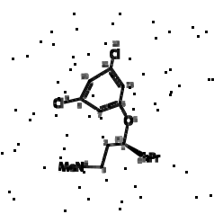 CCC[C@@H](CCNC)Oc1cc(Cl)cc(Cl)c1